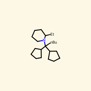 [CH2]CCCC(C1CCCC1)(C1CCCC1)N1CCCCC1CC